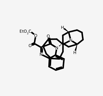 CCOC(=O)OC(=O)c1nc2ccccc2n([C@H]2C[C@H]3CCC[C@@H](C2)N3C2CCCCCCC2)c1=O